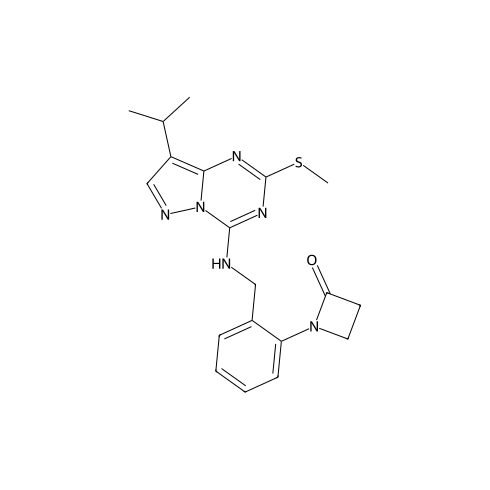 CSc1nc(NCc2ccccc2N2CCC2=O)n2ncc(C(C)C)c2n1